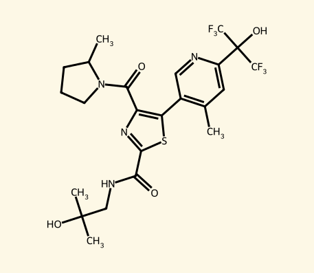 Cc1cc(C(O)(C(F)(F)F)C(F)(F)F)ncc1-c1sc(C(=O)NCC(C)(C)O)nc1C(=O)N1CCCC1C